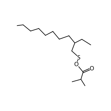 CCCCCCCCC(CC)CSOC(=O)C(C)C